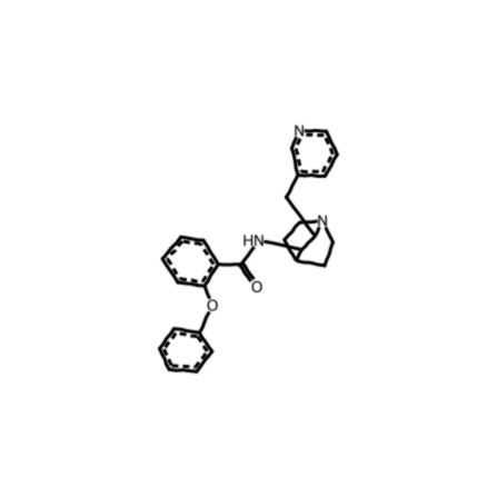 O=C(NC1C2CCN(CC2)C1Cc1cccnc1)c1ccccc1Oc1ccccc1